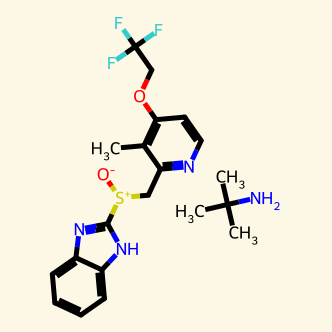 CC(C)(C)N.Cc1c(OCC(F)(F)F)ccnc1C[S+]([O-])c1nc2ccccc2[nH]1